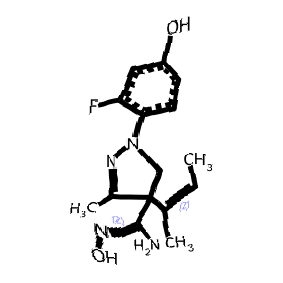 C/C=C(/C)C1(/C(N)=N/O)CN(c2ccc(O)cc2F)N=C1C